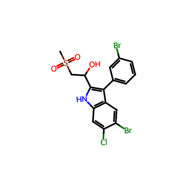 CS(=O)(=O)CC(O)c1[nH]c2cc(Cl)c(Br)cc2c1-c1cccc(Br)c1